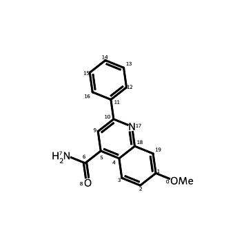 COc1ccc2c(C(N)=O)cc(-c3ccccc3)nc2c1